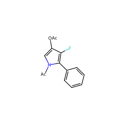 CC(=O)Oc1cn(C(C)=O)c(-c2ccccc2)c1F